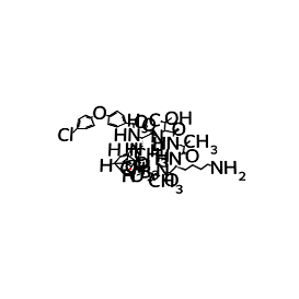 C[C@H](NC(=O)[C@H](CCCCN)NC(=O)[C@H](C)NC(=O)[C@@H](NC(=O)[C@H](CN)NC(=O)c1ccc(Oc2ccc(Cl)cc2)cc1)[C@@H](C)O)B1O[C@@H]2C[C@@H]3C[C@@H](C3(C)C)[C@]2(C)O1